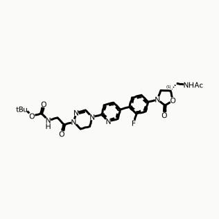 CC(=O)NC[C@H]1CN(c2ccc(-c3ccc(N4C=NN(C(=O)CNC(=O)OC(C)(C)C)CC4)nc3)c(F)c2)C(=O)O1